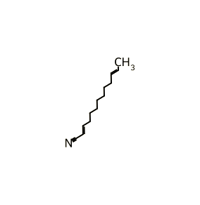 C/C=C/CCCCCCC/C=C/C#N